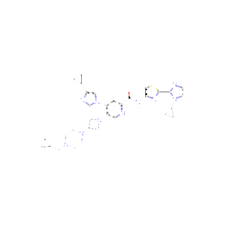 O=C(Nc1csc(-c2nccn2C2CC2)n1)c1cc(-n2cnc(C3CC3)c2)c(N2CC(N3CCN(CC4CC4)CC3)C2)cn1